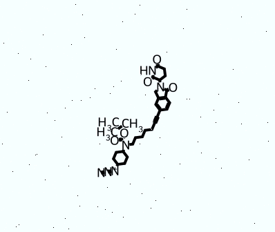 CC(C)(C)OC(=O)N(CCCCCC#Cc1ccc2c(c1)CN(C1CCC(=O)NC1=O)C2=O)C1CCC(N=[N+]=[N-])CC1